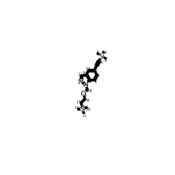 C[Si](C)(C)C#Cc1ccc2c(cnn2COCC[Si](C)(C)C)c1